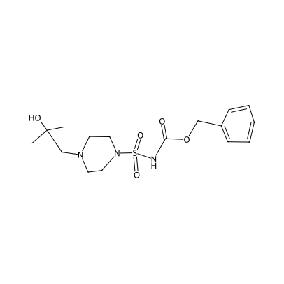 CC(C)(O)CN1CCN(S(=O)(=O)NC(=O)OCc2ccccc2)CC1